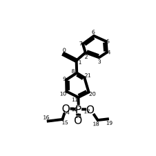 C=C(c1ccccc1)c1ccc(P(=O)(OCC)OCC)cc1